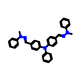 CN(/N=C/c1ccc(N(c2ccccc2)c2ccc(/C=N/N(C)c3ccccc3)cc2)cc1)c1ccccc1